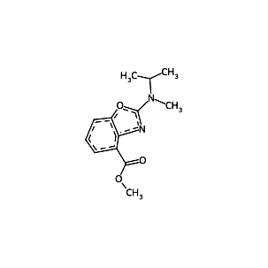 COC(=O)c1cccc2oc(N(C)C(C)C)nc12